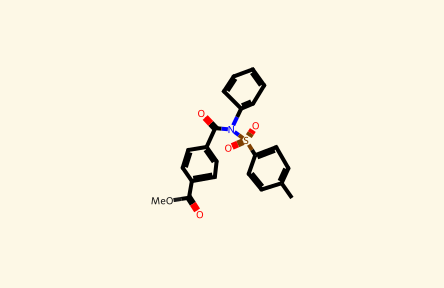 COC(=O)c1ccc(C(=O)N(c2ccccc2)S(=O)(=O)c2ccc(C)cc2)cc1